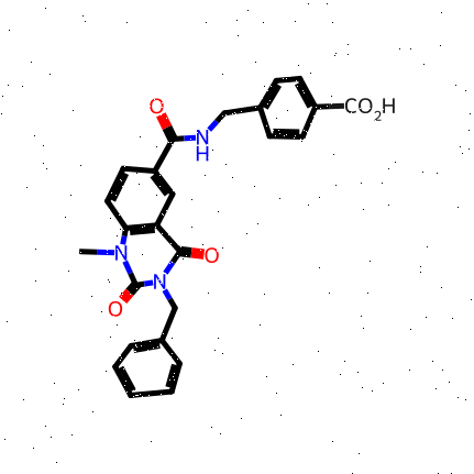 Cn1c(=O)n(Cc2ccccc2)c(=O)c2cc(C(=O)NCc3ccc(C(=O)O)cc3)ccc21